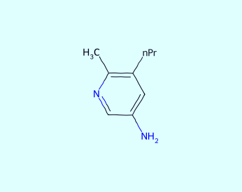 CCCc1cc(N)cnc1C